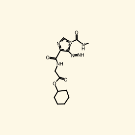 CNC(=O)n1cnc(C(=O)NCC(=O)OC2CCCCC2)c1N=N